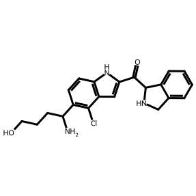 NC(CCCO)c1ccc2[nH]c(C(=O)C3NCc4ccccc43)cc2c1Cl